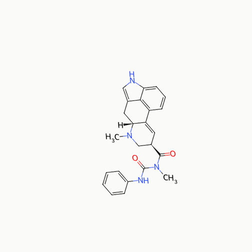 CN(C(=O)Nc1ccccc1)C(=O)[C@@H]1C=C2c3cccc4[nH]cc(c34)C[C@H]2N(C)C1